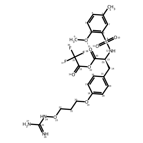 COc1ccc(C)cc1S(=O)(=O)N[C@@H](Cc1ccc(OCCCONC(=N)N)cc1)C(=O)OC(=O)C(F)(F)F